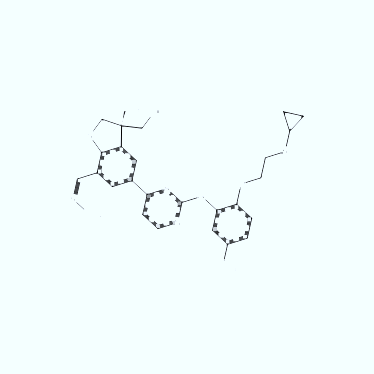 C/N=C\c1cc(-c2ccnc(Nc3cc(C)ccc3OCCNC3CC3)n2)cc2c1NC[C@]2(C)CO